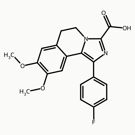 COc1cc2c(cc1OC)-c1c(-c3ccc(F)cc3)nc(C(=O)O)n1CC2